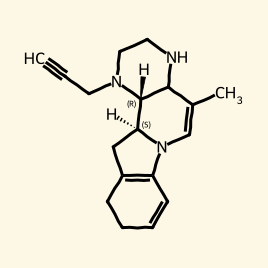 C#CCN1CCNC2C(C)=CN3C4=C(CCC=C4)C[C@H]3[C@@H]21